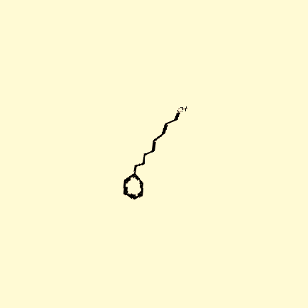 [CH]=CC=CC=CCCCc1ccccc1